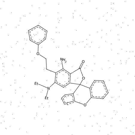 CCN(CC)c1cc2c(c(N)c1CCOc1ccccc1)C(=O)OC21c2ccccc2Oc2ccccc21